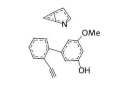 C#Cc1ccccc1-c1cc(O)cc(OC)c1.c1cc2cc-2n1